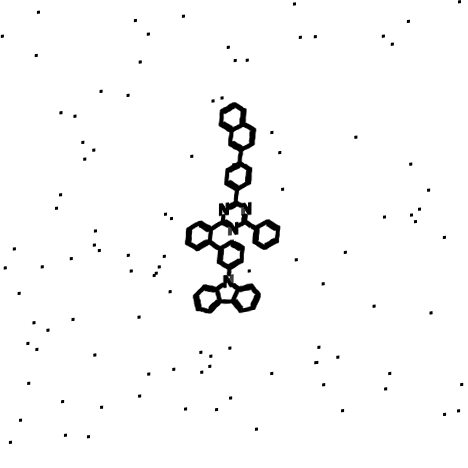 c1ccc(-c2nc(-c3ccc(-c4ccc5ccccc5c4)cc3)nc(-c3ccccc3-c3cccc(-n4c5ccccc5c5ccccc54)c3)n2)cc1